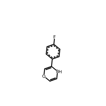 Fc1ccc(C2=COC=CB2)cc1